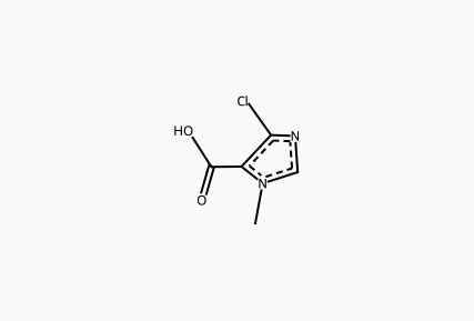 Cn1cnc(Cl)c1C(=O)O